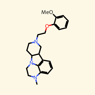 COc1ccccc1OCCN1CCC2C(C1)c1cccc3c1N2CCN3C